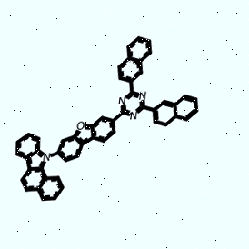 C1=CC2=CC(c3nc(-c4ccc5ccccc5c4)nc(-c4ccc5c(c4)oc4cc(-n6c7ccccc7c7ccc8ccccc8c76)ccc45)n3)=CCC2C=C1